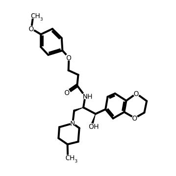 COc1ccc(OCCC(=O)N[C@H](CN2CCC(C)CC2)[C@H](O)c2ccc3c(c2)OCCO3)cc1